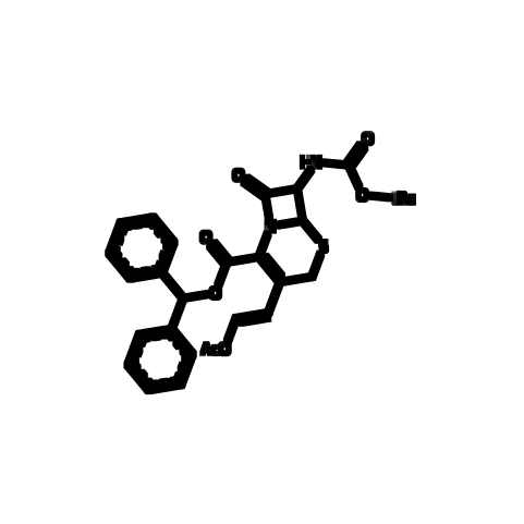 CC(=O)OC=CC1=C(C(=O)OC(c2ccccc2)c2ccccc2)N2C(=O)C(NC(=O)OC(C)(C)C)C2SC1